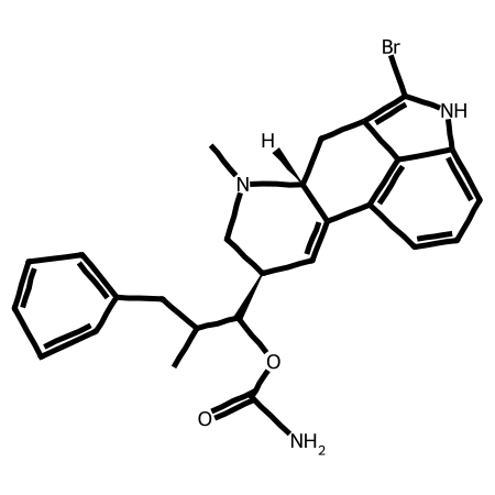 CC(Cc1ccccc1)C(OC(N)=O)[C@@H]1C=C2c3cccc4[nH]c(Br)c(c34)C[C@H]2N(C)C1